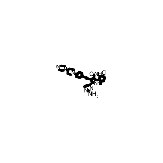 Cc1ccc(Cl)cc1-c1[nH]c(-c2ccnc(N)n2)c(C#Cc2ccc(N3CCC(N4CCN(C)CC4)CC3)cc2)c1C(N)=O